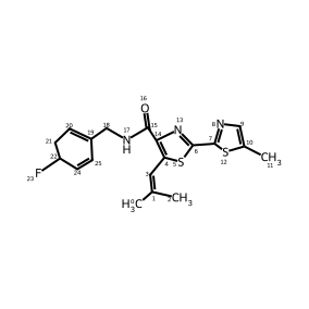 CC(C)=Cc1sc(-c2ncc(C)s2)nc1C(=O)NCC1=CCC(F)C=C1